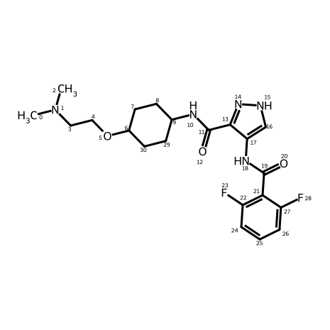 CN(C)CCOC1CCC(NC(=O)c2n[nH]cc2NC(=O)c2c(F)cccc2F)CC1